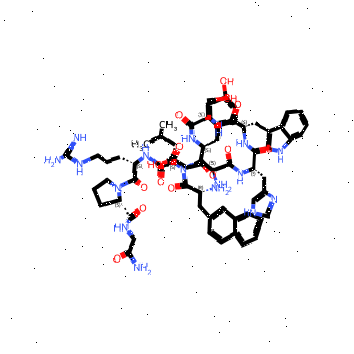 CC(C)C[C@@H](C(=O)N[C@@H](CCCNC(=N)N)C(=O)N1CCC[C@H]1C(=O)NCC(N)=O)N(C(=O)[C@H](N)Cc1ccc2ccccc2c1)C(=O)[C@H](Cc1ccc(O)cc1)NC(=O)[C@H](CO)NC(=O)[C@H](Cc1c[nH]c2ccccc12)NC(=O)[C@H](Cc1c[nH]cn1)NC(=O)[C@@H](N)CCC(=O)O